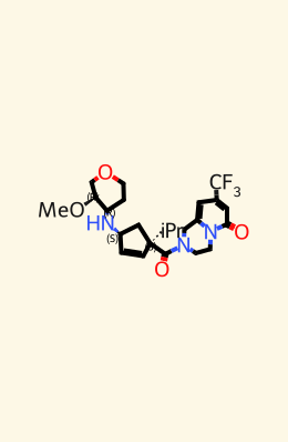 CO[C@H]1COCC[C@H]1N[C@@H]1C=C[C@@](C(=O)N2CCn3c(cc(C(F)(F)F)cc3=O)C2)(C(C)C)C1